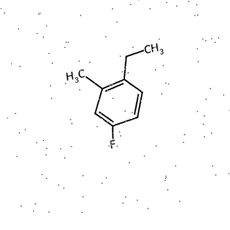 CCc1ccc(F)cc1C